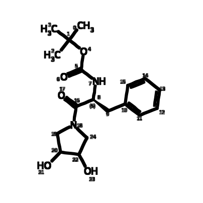 CC(C)(C)OC(=O)N[C@@H](Cc1ccccc1)C(=O)N1CC(O)C(O)C1